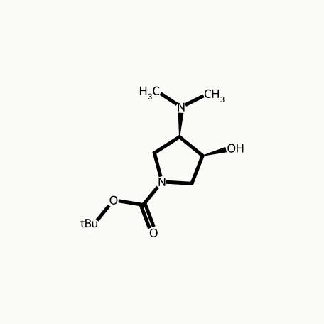 CN(C)[C@@H]1CN(C(=O)OC(C)(C)C)C[C@@H]1O